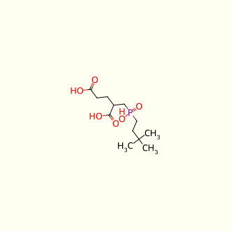 CC(C)(C)CCP(=O)(O)CC(CCC(=O)O)C(=O)O